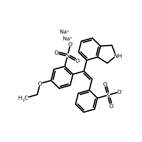 CCOc1ccc(C(=Cc2ccccc2S(=O)(=O)[O-])c2cccc3c2CNC3)c(S(=O)(=O)[O-])c1.[Na+].[Na+]